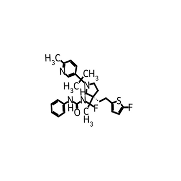 Cc1ccc(C(C)(C)N2CC[C@@](CCc3ccc(F)s3)(C(C)(F)NC(=O)Nc3ccccc3)C2)cn1